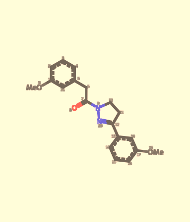 COc1cccc(CC(=O)N2CCC(c3cccc(OC)c3)=N2)c1